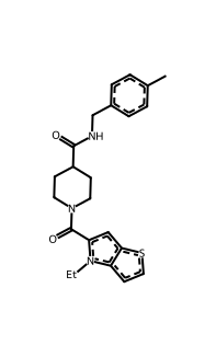 CCn1c(C(=O)N2CCC(C(=O)NCc3ccc(C)cc3)CC2)cc2sccc21